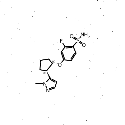 Cn1nccc1[C@H]1CCC[C@@H]1Oc1ccc(S(N)(=O)=O)c(F)c1